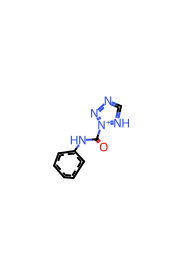 O=C(Nc1ccccc1)[n+]1nnc[nH]1